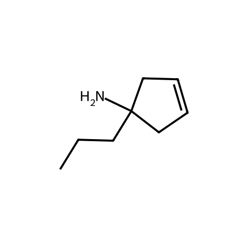 CCCC1(N)CC=CC1